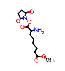 CC(C)(C)OC(=O)CCCCCC(N)C(=O)ON1C(=O)CCC1=O